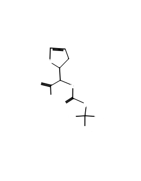 CC(C)(C)OC(=O)NC(C(=O)O)C1CC=CS1